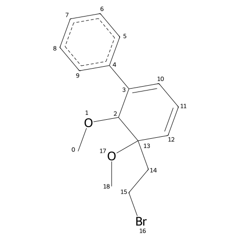 COC1C(c2ccccc2)=CC=CC1(CCBr)OC